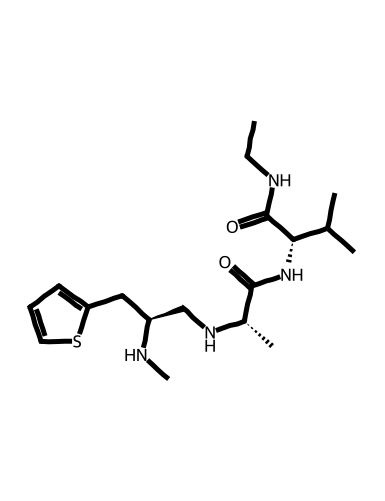 CCNC(=O)[C@@H](NC(=O)[C@H](C)NC[C@H](Cc1cccs1)NC)C(C)C